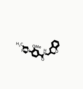 COc1cc(C(=O)NCC2COc3ccccc3C2)ccc1-n1cnc(C)c1